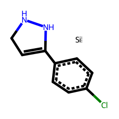 Clc1ccc(C2=CCNN2)cc1.[Si]